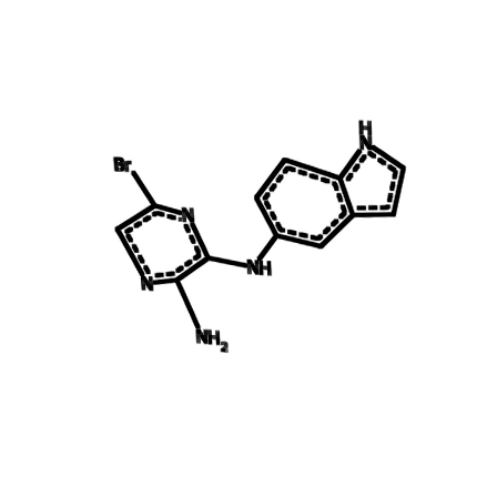 Nc1ncc(Br)nc1Nc1ccc2[nH]ccc2c1